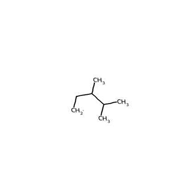 [CH2]CC(C)C(C)C